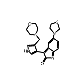 O=C1N=c2ccc(N3CCSC3)cc2=C1c1c[nH]cc1CN1CCOCC1